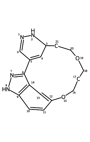 C1=NNC2C=C1c1n[nH]c3ccc(cc13)OCCCOCC2